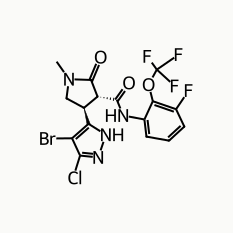 CN1C[C@H](c2[nH]nc(Cl)c2Br)[C@@H](C(=O)Nc2cccc(F)c2OC(F)(F)F)C1=O